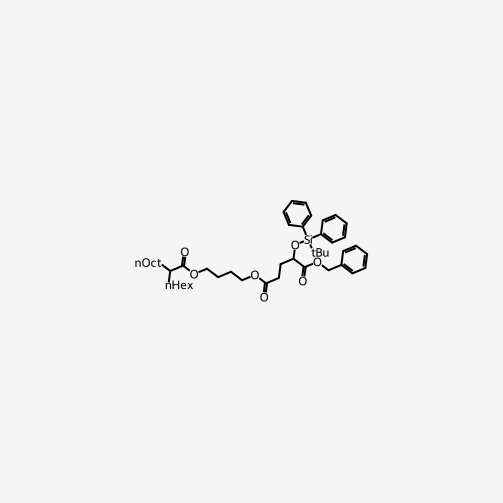 CCCCCCCCC(CCCCCC)C(=O)OCCCCOC(=O)CCC(O[Si](c1ccccc1)(c1ccccc1)C(C)(C)C)C(=O)OCc1ccccc1